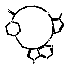 O=C1CCCCOc2cc(ccc2Cl)Nc2ncnc3[nH]cc(c23)CN2CCN1CC2